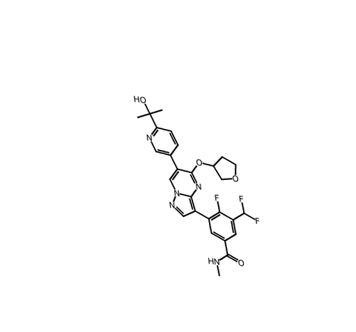 CNC(=O)c1cc(-c2cnn3cc(-c4ccc(C(C)(C)O)nc4)c(OC4CCOC4)nc23)c(F)c(C(F)F)c1